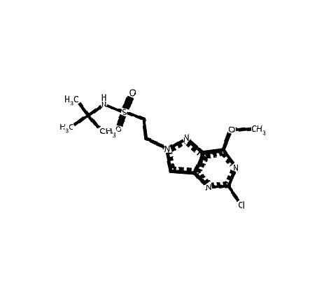 COc1nc(Cl)nc2cn(CCS(=O)(=O)NC(C)(C)C)nc12